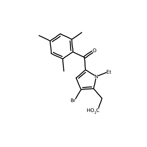 CCn1c(C(=O)c2c(C)cc(C)cc2C)cc(Br)c1CC(=O)O